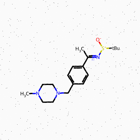 C/C(=N\[S+]([O-])C(C)(C)C)c1ccc(CN2CCN(C)CC2)cc1